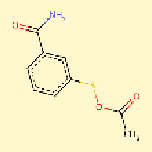 CC(=O)OSc1cccc(C(N)=O)c1